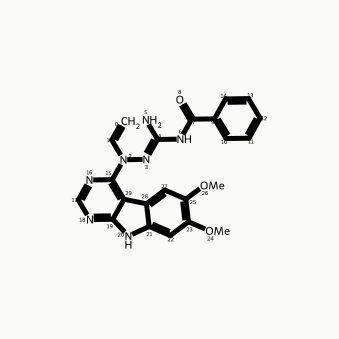 C=CN(/N=C(\N)NC(=O)c1ccccc1)c1ncnc2[nH]c3cc(OC)c(OC)cc3c12